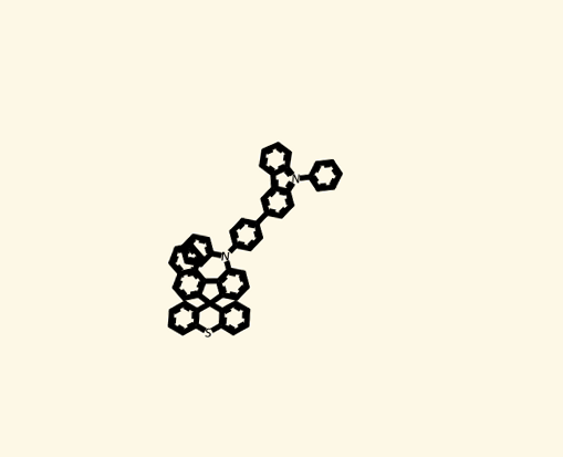 c1ccc(N(c2ccc(-c3ccc4c(c3)c3ccccc3n4-c3ccccc3)cc2)c2cccc3c2-c2c(ccc4ccccc24)C32c3ccccc3Sc3ccccc32)cc1